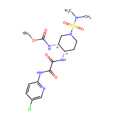 CN(C)S(=O)(=O)N1CC[C@H](NC(=O)C(=O)Nc2ccc(Cl)cn2)[C@H](NC(=O)OC(C)(C)C)C1